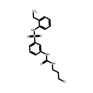 CCc1ccccc1NS(=O)(=O)c1cccc(NC(=O)NCCCCl)c1